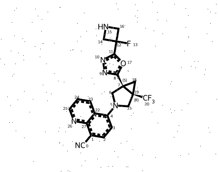 N#Cc1ccc(N2C[C@]3(c4nnc(C5(F)CNC5)o4)C[C@]3(C(F)(F)F)C2)c2cccnc12